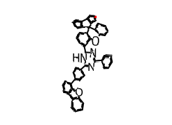 c1ccc(C2=NC(c3cccc4c3Oc3ccccc3C43c4ccccc4-c4ccccc43)NC(c3ccc(-c4cccc5c4oc4ccccc45)cc3)=N2)cc1